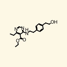 CCOC(=O)c1c(CC)ncnc1NCCc1ccc(CCO)cc1